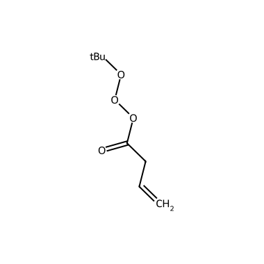 C=CCC(=O)OOOC(C)(C)C